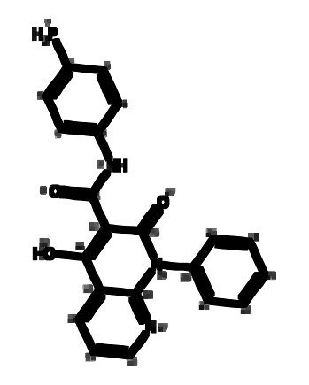 O=C(Nc1ccc(P)cc1)c1c(O)c2cccnc2n(-c2ccccc2)c1=O